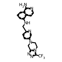 Nc1nccc2c(NCc3ccc(N4CCn5c(nnc5C(F)(F)F)C4)cn3)cccc12